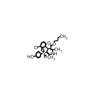 CCCCOC(=O)C1=C(C)NC(C)=C(S(=O)(=O)c2ccc(O)cc2)C1c1cccc(Cl)c1Cl